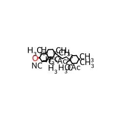 CC(=O)C[C@@H]1[C@@]2(C)C=C(C#N)C(=O)[C@@H](C)[C@@H]2CC[C@@]1(C)C(C)(C)CC[C@@]1(COC(C)=O)CCC(C)(C)CC1C